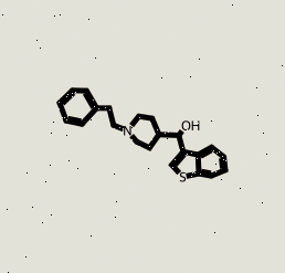 OC(c1csc2ccccc12)C1CCN(CCc2ccccc2)CC1